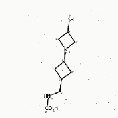 O=C(O)NC[C@H]1C[C@@H](N2CC(S)C2)C1